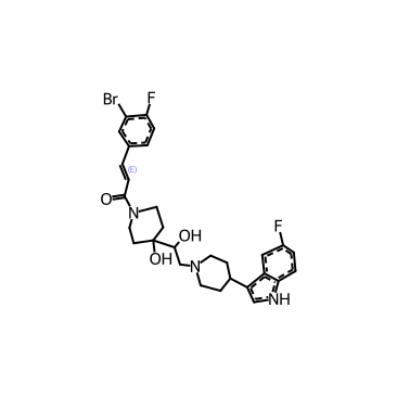 O=C(/C=C/c1ccc(F)c(Br)c1)N1CCC(O)(C(O)CN2CCC(c3c[nH]c4ccc(F)cc34)CC2)CC1